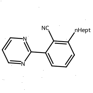 CCCCCCCc1cccc(-c2ncccn2)c1C#N